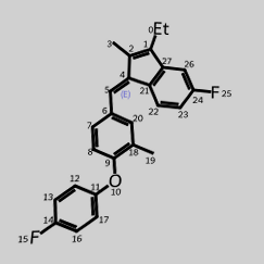 CCC1=C(C)/C(=C/c2ccc(Oc3ccc(F)cc3)c(C)c2)c2ccc(F)cc21